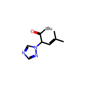 CC(C)=CC(C(=O)C(C)(C)C)n1cncn1